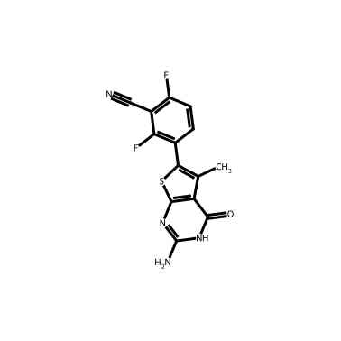 Cc1c(-c2ccc(F)c(C#N)c2F)sc2nc(N)[nH]c(=O)c12